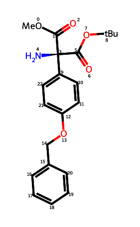 COC(=O)[C@](N)(C(=O)OC(C)(C)C)c1ccc(OCc2ccccc2)cc1